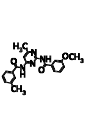 COc1cccc(C(=O)Nc2nc(C)cc(NC(=O)c3cccc(C)c3)n2)c1